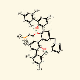 Cc1cc(-c2cc(Cc3ccccc3)cc(-c3cc(C)cc(-c4c(C(C)C)cc(C(C)C)cc4C(C)C)c3O)c2OCCP(C)C)c(O)c(-c2c(C(C)C)cc(C(C)C)cc2C(C)C)c1